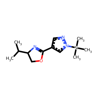 CC(C)C1COC(c2cnn([Si](C)(C)C)c2)=N1